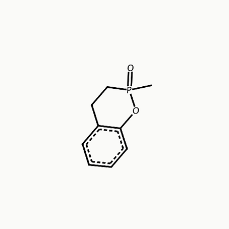 CP1(=O)CCc2ccccc2O1